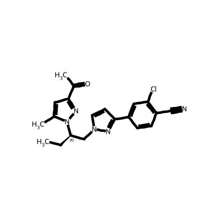 CC[C@H](Cn1ccc(-c2ccc(C#N)c(Cl)c2)n1)n1nc(C(C)=O)cc1C